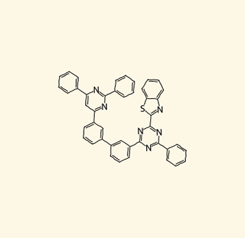 c1ccc(-c2cc(-c3cccc(-c4cccc(-c5nc(-c6ccccc6)nc(-c6nc7ccccc7s6)n5)c4)c3)nc(-c3ccccc3)n2)cc1